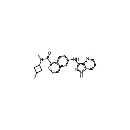 CC1CC(N(C)C(=O)c2nccc3cc(Nc4n[nH]c5cccnc45)ccc23)C1